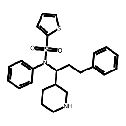 O=S(=O)(c1cccs1)N(c1ccccc1)C(CCc1ccccc1)C1CCCNC1